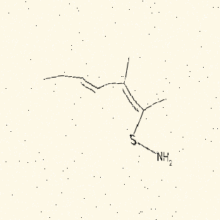 C/C=C/C(C)=C(/C)SN